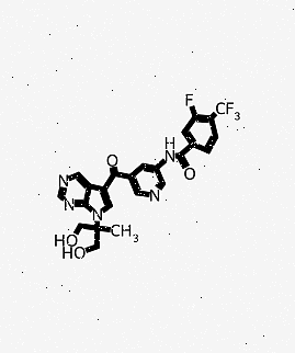 CC(CO)(CO)n1cc(C(=O)c2cncc(NC(=O)c3ccc(C(F)(F)F)c(F)c3)c2)c2cncnc21